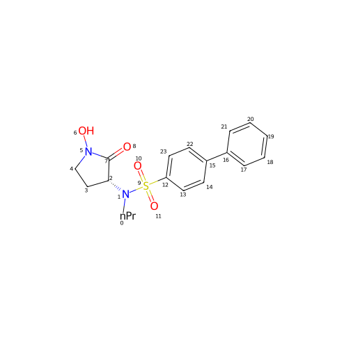 CCCN([C@@H]1CCN(O)C1=O)S(=O)(=O)c1ccc(-c2ccccc2)cc1